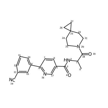 CC(NC(=O)c1ccc(-c2cccc(C#N)c2)nc1)C(=O)N1CCC2(CC1)CC2